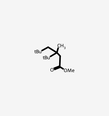 COC(=O)CC(C)(CC(C)(C)C)C(C)(C)C